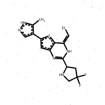 CC/C=C1/NC(C2CC(F)(F)CN2)=Nc2cc(-c3cn[nH]c3C)sc21